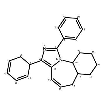 C1=CCC(c2nc(-c3ccccc3)n3c2C=CCC2CCCCC23)C=C1